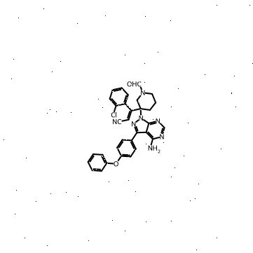 N#CC=C(c1ccccc1Cl)C1(n2nc(-c3ccc(Oc4ccccc4)cc3)c3c(N)ncnc32)CCCN(C=O)C1